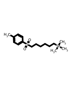 Cc1ccc(S(=O)(=O)CCCCC[CH2][Sn]([CH3])([CH3])[CH3])cc1